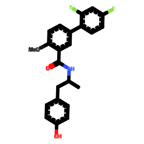 COc1ccc(-c2ccc(F)cc2F)cc1C(=O)NC(C)Cc1ccc(O)cc1